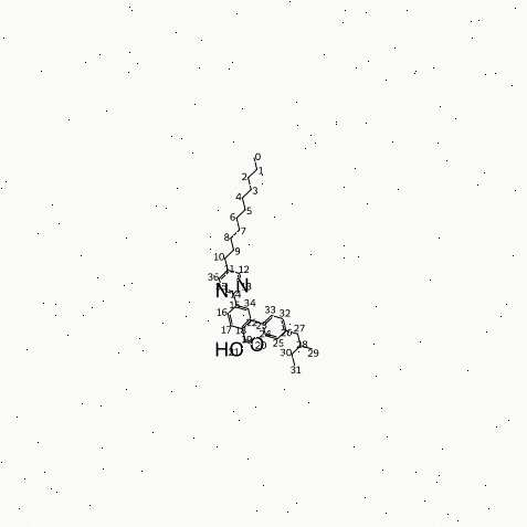 CCCCCCCCCCCc1cnc(-c2ccc(C(=O)O)c(-c3ccc(CC(C)CC)cc3)c2)nc1